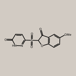 COc1ccc2c(c1)C(=O)C(S(=O)(=O)c1ccc(=O)[nH]n1)O2